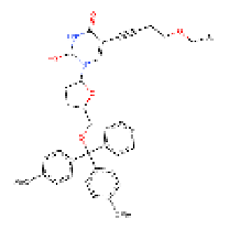 COc1ccc(C(OCC2CCC(N3C=C(C#CCCOCC(C)=O)C(=O)NC3O)O2)(c2ccccc2)c2ccc(OC)cc2)cc1